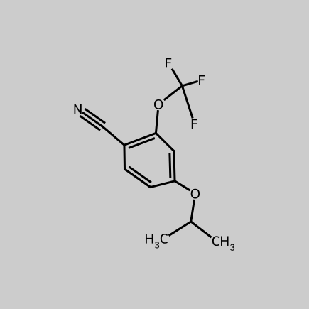 CC(C)Oc1ccc(C#N)c(OC(F)(F)F)c1